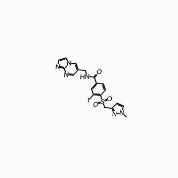 Cn1ccc(CS(=O)(=O)c2ccc(C(=O)NCc3cnc4nccn4c3)cc2I)n1